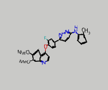 COc1cc2nccc(Oc3ccc(-c4ccc(Nc5ccccc5C)nn4)cc3F)c2cc1OC